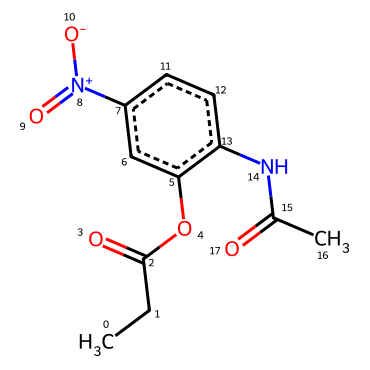 CCC(=O)Oc1cc([N+](=O)[O-])ccc1NC(C)=O